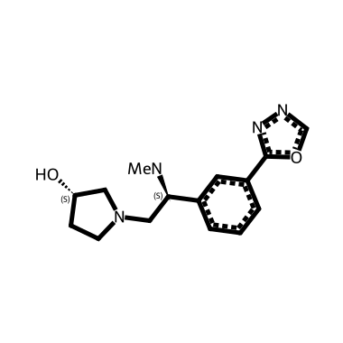 CN[C@H](CN1CC[C@H](O)C1)c1cccc(-c2nnco2)c1